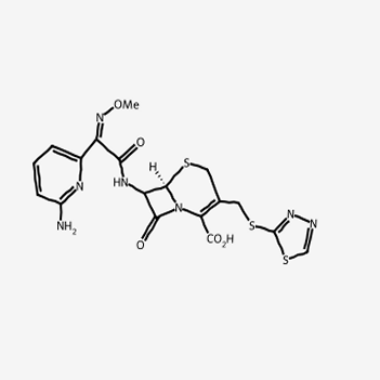 CO/N=C(\C(=O)NC1C(=O)N2C(C(=O)O)=C(CSc3nncs3)CS[C@H]12)c1cccc(N)n1